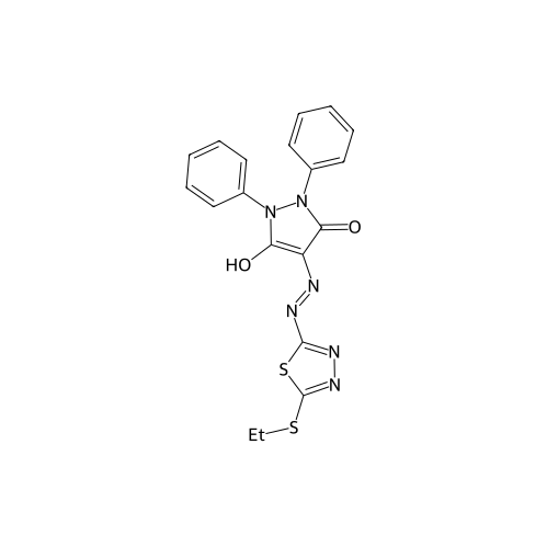 CCSc1nnc(N=Nc2c(O)n(-c3ccccc3)n(-c3ccccc3)c2=O)s1